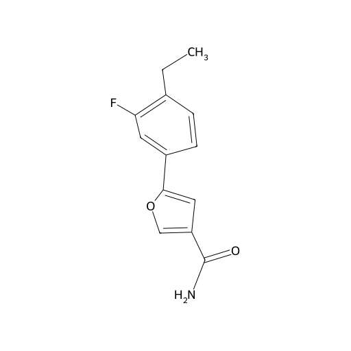 CCc1ccc(-c2cc(C(N)=O)co2)cc1F